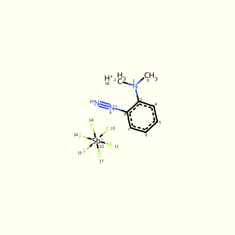 CN(C)c1ccccc1[N+]#N.[F][Sb-]([F])([F])([F])([F])[F].[H+]